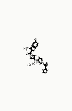 Cc1c(C(=O)N2CC(N(C=O)[C@H]3CCN(C(=O)c4cscn4)C3)C2)sc2ccc(Cl)cc12